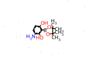 CC1(C)OB(c2c(O)ccc(N)c2O)OC1(C)C